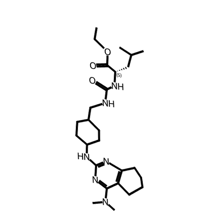 CCOC(=O)[C@H](CC(C)C)NC(=O)NCC1CCC(Nc2nc3c(c(N(C)C)n2)CCCC3)CC1